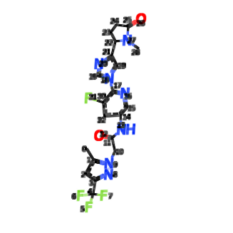 Cc1cc(C(F)(F)F)nn1CC(=O)Nc1cnc(-n2cnc(C3CCC(=O)N3C)c2)c(F)c1